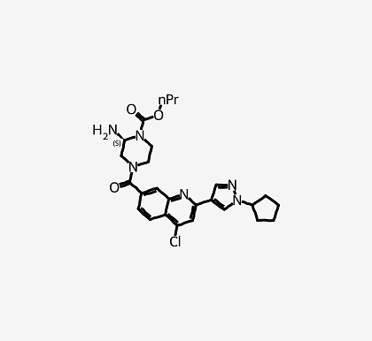 CCCOC(=O)N1CCN(C(=O)c2ccc3c(Cl)cc(-c4cnn(C5CCCC5)c4)nc3c2)C[C@H]1N